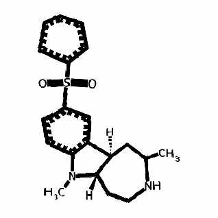 CC1C[C@@H]2c3cc(S(=O)(=O)c4ccccc4)ccc3N(C)[C@H]2CCN1